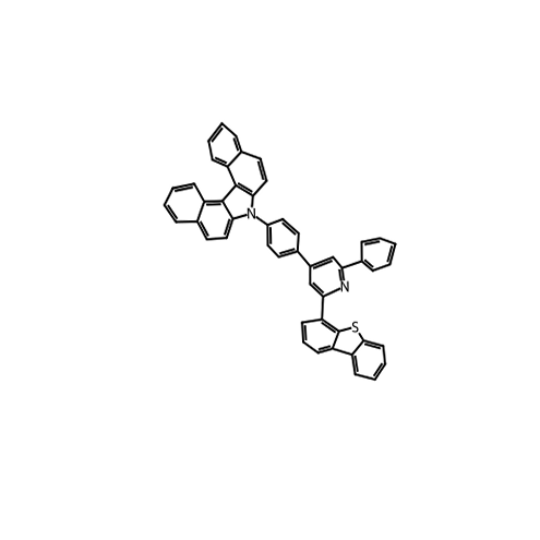 c1ccc(-c2cc(-c3ccc(-n4c5ccc6ccccc6c5c5c6ccccc6ccc54)cc3)cc(-c3cccc4c3sc3ccccc34)n2)cc1